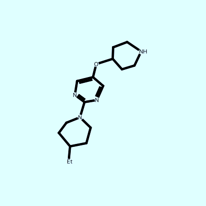 CCC1CCN(c2ncc(OC3CCNCC3)cn2)CC1